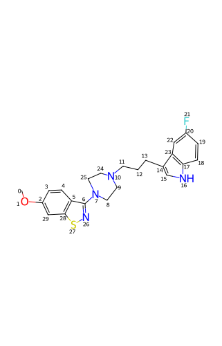 COc1ccc2c(N3CCN(CCCc4c[nH]c5ccc(F)cc45)CC3)nsc2c1